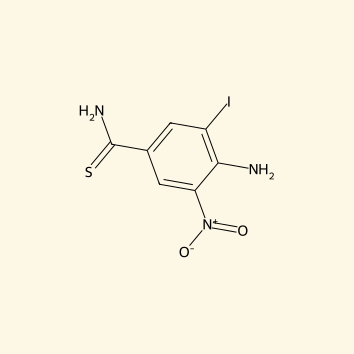 NC(=S)c1cc(I)c(N)c([N+](=O)[O-])c1